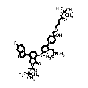 CN(C)Cc1nc(Nc2ccc(-c3cnc4cc(F)ccn34)c3c2C(=O)N(C(=O)OC(C)(C)C)C3)ccc1N1CCC(O)(COCCCC(=O)OC(C)(C)C)CC1